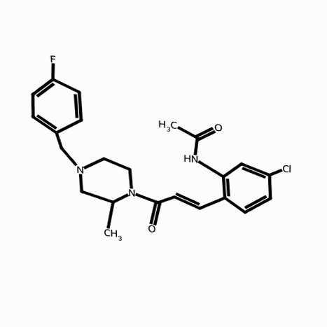 CC(=O)Nc1cc(Cl)ccc1C=CC(=O)N1CCN(Cc2ccc(F)cc2)CC1C